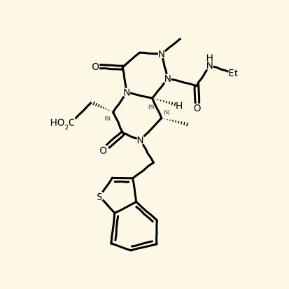 CCNC(=O)N1[C@H]2[C@H](C)N(Cc3csc4ccccc34)C(=O)[C@H](CC(=O)O)N2C(=O)CN1C